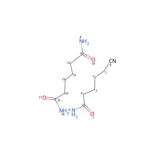 N#CCCCCC(N)=O.NC(=O)CCCCC(N)=O